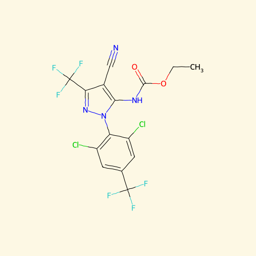 CCOC(=O)Nc1c(C#N)c(C(F)(F)F)nn1-c1c(Cl)cc(C(F)(F)F)cc1Cl